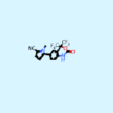 Cn1c(C#N)ccc1-c1ccc2c(c1)C(C(F)(F)F)(C(F)(F)F)OC(=O)N2